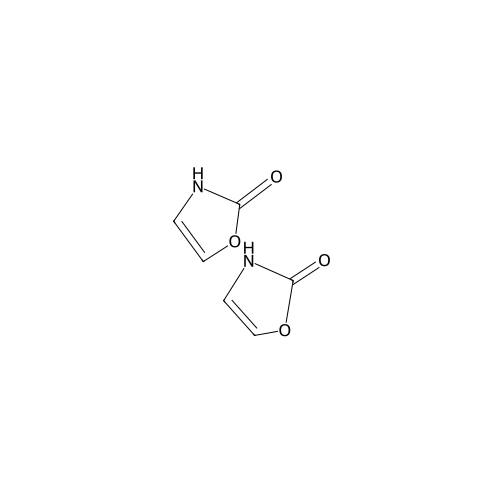 O=c1[nH]cco1.O=c1[nH]cco1